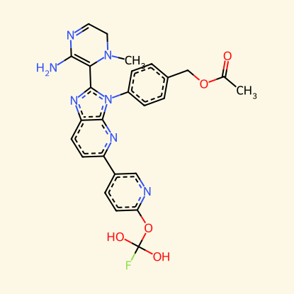 CC(=O)OCc1ccc(-n2c(C3=C(N)N=CCN3C)nc3ccc(-c4ccc(OC(O)(O)F)nc4)nc32)cc1